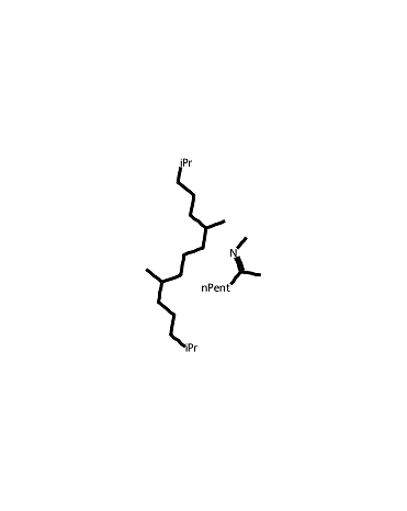 CC(C)CCCC(C)CCCC(C)CCCC(C)C.CCCCCC(C)=NC